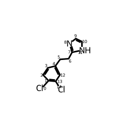 Clc1ccc(CCc2ncc[nH]2)cc1Cl